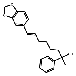 CC(O)(CCCC/C=C/c1ccc2c(c1)OCO2)c1ccccc1